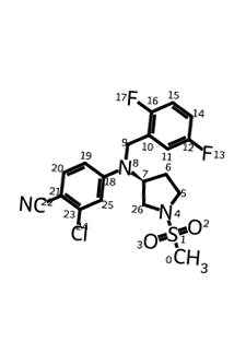 CS(=O)(=O)N1CC[C@H](N(Cc2cc(F)ccc2F)c2ccc(C#N)c(Cl)c2)C1